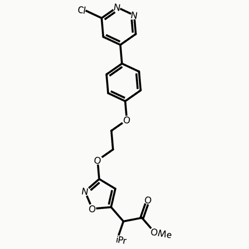 COC(=O)C(c1cc(OCCOc2ccc(-c3cnnc(Cl)c3)cc2)no1)C(C)C